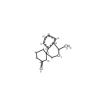 CC1OCC2(CCCC(=O)C2)c2ccccc21